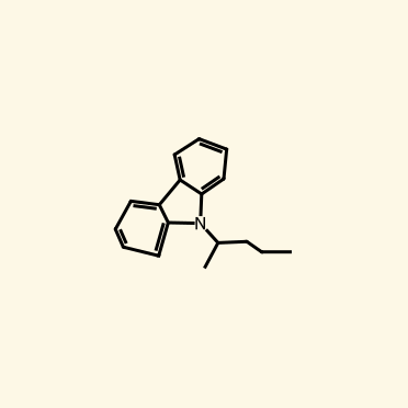 CCCC(C)n1c2ccccc2c2ccccc21